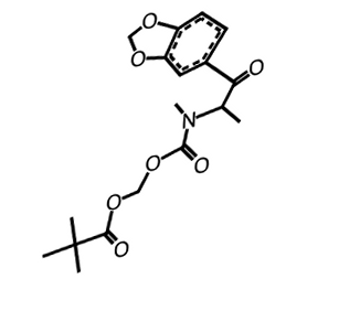 CC(C(=O)c1ccc2c(c1)OCO2)N(C)C(=O)OCOC(=O)C(C)(C)C